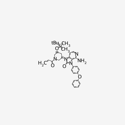 C=CC(=O)N1C[C@H](O[Si](C)(C)C(C)(C)C)C[C@H](n2c(=O)n(-c3ccc(Oc4ccccc4)cc3)c3c(N)nccc32)C1